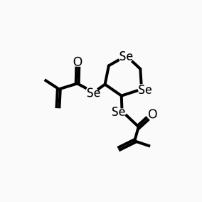 C=C(C)C(=O)[Se]C1C[Se]C[Se]C1[Se]C(=O)C(=C)C